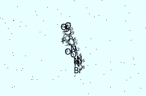 O=C1O[C@@H](Cn2cc(CBr)nn2)CN1c1ccc(C2=CCS(=O)(=O)CC2)c(F)c1